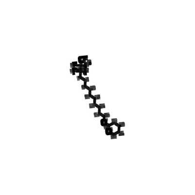 FC(F)(F)C(F)(F)C(F)(F)CCCCCCCCCCOC1CCCCO1